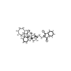 O=C1c2ccccc2C(=O)N1CC[N+]12CCC(CC1)[C@@H](OC(=O)C1(c3ccccc3)CCCCCC1)C2